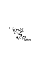 CC(=O)Nc1ncc([C@@H](C)N2CCC3(CC2)CN(Cc2cc(C)nc(C)c2)C(O)N3)s1